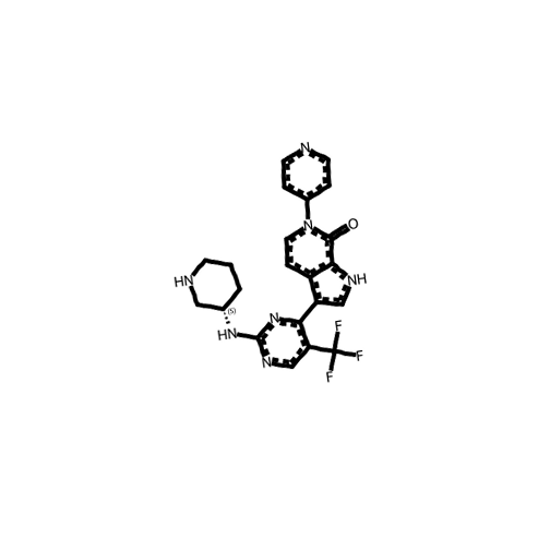 O=c1c2[nH]cc(-c3nc(N[C@H]4CCCNC4)ncc3C(F)(F)F)c2ccn1-c1ccncc1